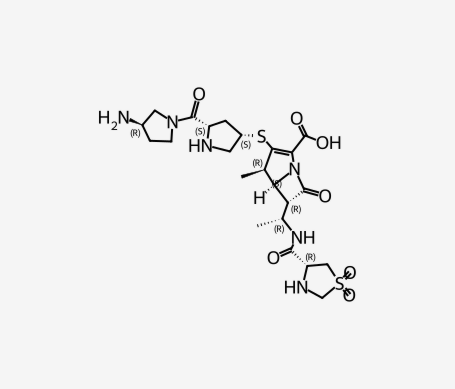 C[C@@H](NC(=O)[C@@H]1CS(=O)(=O)CN1)[C@H]1C(=O)N2C(C(=O)O)=C(S[C@@H]3CN[C@H](C(=O)N4CC[C@@H](N)C4)C3)[C@H](C)[C@H]12